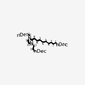 CCCCCCCCCCCCCCCCCCCC1N(CCCCCCCCCCC)C=CN1CCCCCCCCCCCC